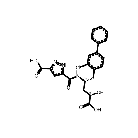 CC(=O)c1cc(C(=O)N[C@H](Cc2ccc(-c3ccccc3)cc2Cl)C[C@@H](O)C(=O)O)[nH]n1